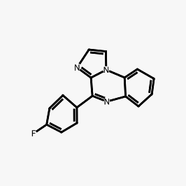 Fc1ccc(-c2nc3ccccc3n3ccnc23)cc1